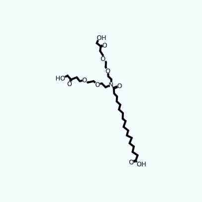 O=C(O)CCCCCCCCCCCCCCCCC(=O)N(CCOCCOCCC(=O)CO)CCOCCOCCC(=O)CO